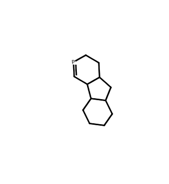 C1=PCCC2CC3CCCCC3C12